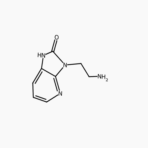 NCCn1c(=O)[nH]c2cccnc21